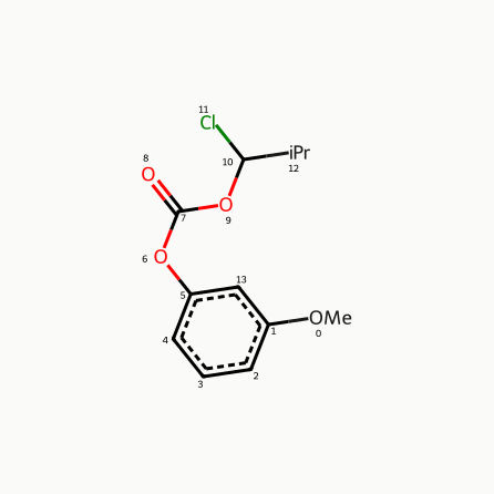 COc1cccc(OC(=O)OC(Cl)C(C)C)c1